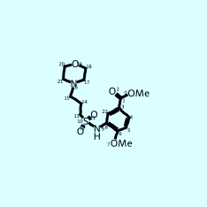 COC(=O)c1ccc(OC)c(NS(=O)(=O)CCCN2CCOCC2)c1